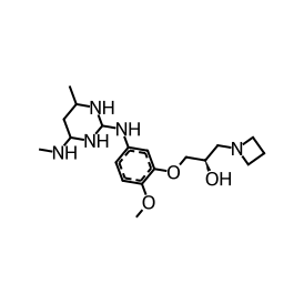 CNC1CC(C)NC(Nc2ccc(OC)c(OC[C@H](O)CN3CCC3)c2)N1